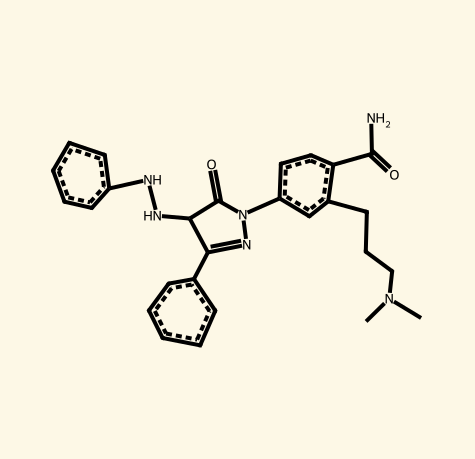 CN(C)CCCc1cc(N2N=C(c3ccccc3)C(NNc3ccccc3)C2=O)ccc1C(N)=O